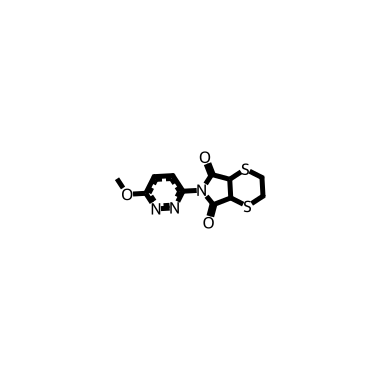 COc1ccc(N2C(=O)C3SCCSC3C2=O)nn1